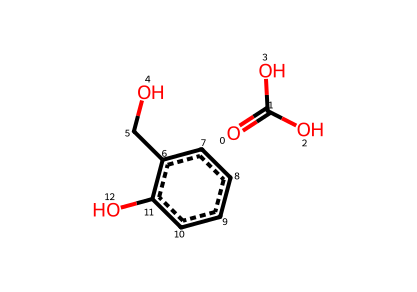 O=C(O)O.OCc1ccccc1O